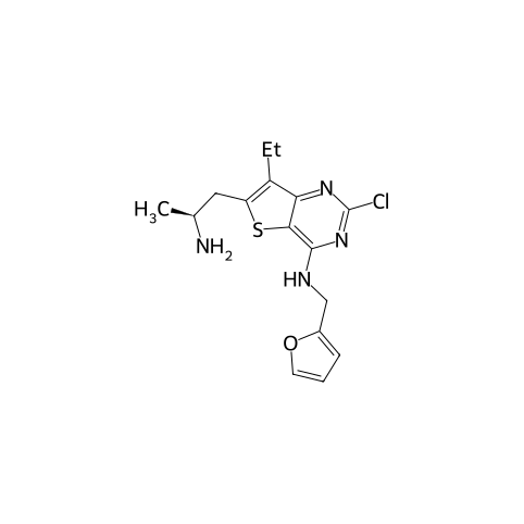 CCc1c(C[C@H](C)N)sc2c(NCc3ccco3)nc(Cl)nc12